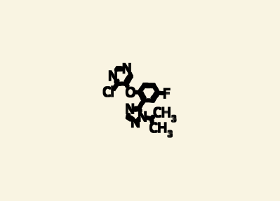 CC(C)n1ncnc1-c1cc(F)ccc1Oc1cncnc1Cl